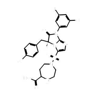 C[C@@]1(Cc2ccc(Br)cc2)C(=O)N(c2cc(Cl)cc(Cl)c2)c2ncc(S(=O)(=O)N3CCNC(C(=O)O)CC3)n21